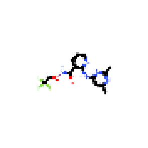 Cc1cc(Nc2ncccc2C(=O)NOCC(F)(F)F)nc(C)n1